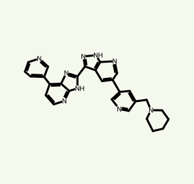 c1cncc(-c2ccnc3[nH]c(-c4n[nH]c5ncc(-c6cncc(CN7CCCCC7)c6)cc45)nc23)c1